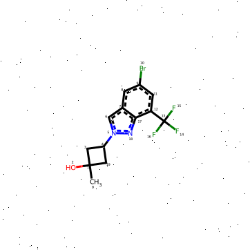 CC1(O)CC(n2cc3cc(Br)cc(C(F)(F)F)c3n2)C1